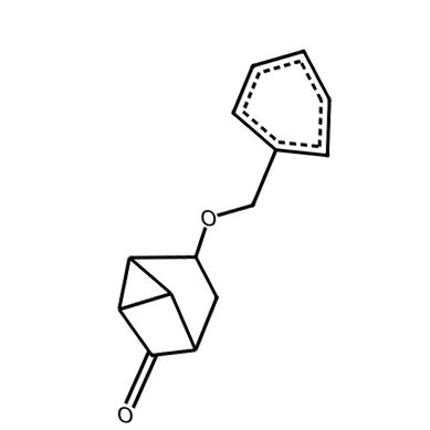 O=C1C2CC(OCc3ccccc3)C3C1C23